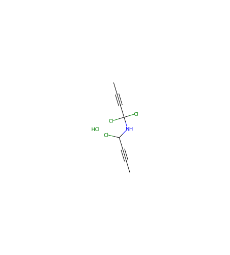 CC#CC(Cl)NC(Cl)(Cl)C#CC.Cl